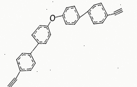 C#Cc1ccc(-c2ccc(Oc3ccc(-c4ccc(C#C)cc4)cc3)cc2)cc1